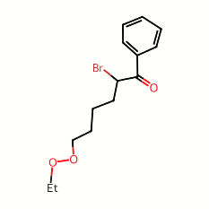 CCOOCCCCC(Br)C(=O)c1ccccc1